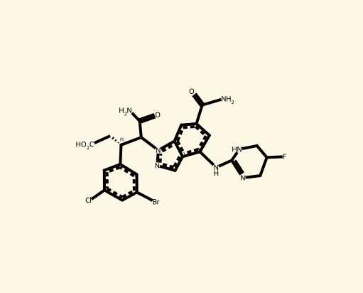 NC(=O)c1cc(NC2=NCC(F)CN2)c2cnn(C(C(N)=O)[C@@H](CC(=O)O)c3cc(Cl)cc(Br)c3)c2c1